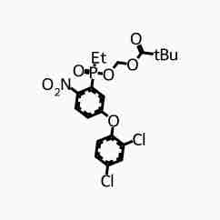 CCP(=O)(OCOC(=O)C(C)(C)C)c1cc(Oc2ccc(Cl)cc2Cl)ccc1[N+](=O)[O-]